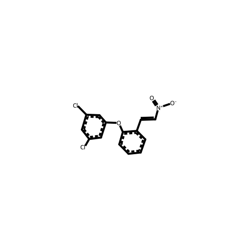 O=[N+]([O-])/C=C/c1ccccc1Oc1cc(Cl)cc(Cl)c1